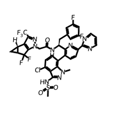 Cn1nc(NS(C)(=O)=O)c2c(Cl)ccc(-c3ccc(-c4ncccn4)nc3[C@H](Cc3cc(F)cc(F)c3)NC(=O)Cn3nc(C(F)(F)F)c4c3C(F)(F)C3C[C@H]43)c21